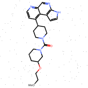 COCCOC1CCCN(C(=O)N2CCC(c3ccnc4cnc5[nH]ccc5c34)CC2)C1